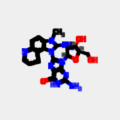 CN1c2ccc3ncccc3c2N(c2nc3c(=O)[nH]c(N)nc3n2[C@H]2C[C@H](O)[C@@H](CO)O2)C1N